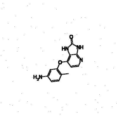 Cc1ccc(N)cc1Oc1ccnc2[nH]c(=O)[nH]c12